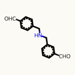 O=Cc1ccc(CNCc2cccc(C=O)c2)cc1